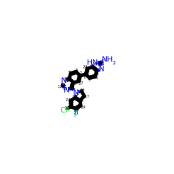 Nc1nc2ccc(-c3ccc4ncnc(N5CCc6cc(F)c(Cl)cc65)c4c3)cc2[nH]1